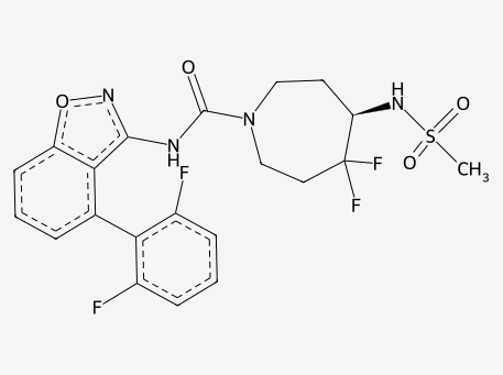 CS(=O)(=O)N[C@@H]1CCN(C(=O)Nc2noc3cccc(-c4c(F)cccc4F)c23)CCC1(F)F